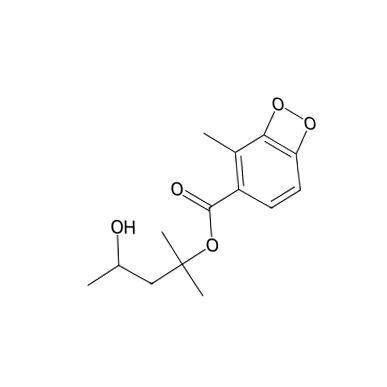 Cc1c(C(=O)OC(C)(C)CC(C)O)ccc2ooc12